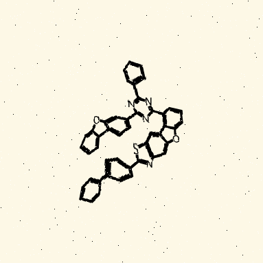 c1ccc(-c2ccc(-c3nc4cc5oc6cccc(-c7nc(-c8ccccc8)nc(-c8ccc9c(c8)oc8ccccc89)n7)c6c5cc4s3)cc2)cc1